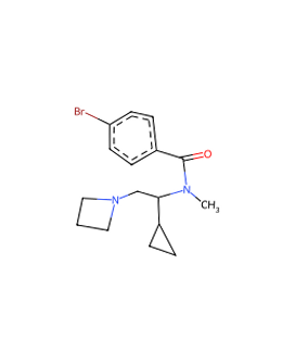 CN(C(=O)c1ccc(Br)cc1)C(CN1CCC1)C1CC1